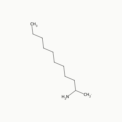 [CH2]C(N)CCCCCCCCC